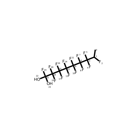 CC(F)C(F)(F)C(F)(F)C(F)(F)C(F)(F)C(F)(F)C(F)(F)C(O)(O)F